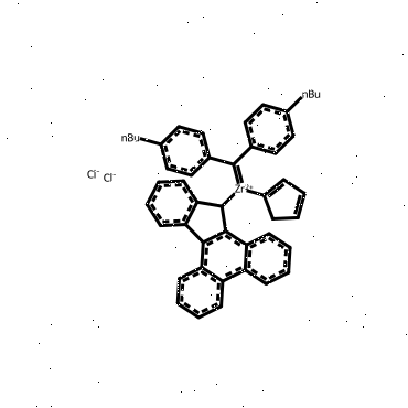 CCCCc1ccc([C](c2ccc(CCCC)cc2)=[Zr+2]([C]2=CC=CC2)[CH]2c3ccccc3-c3c2c2ccccc2c2ccccc32)cc1.[Cl-].[Cl-]